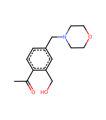 CC(=O)c1ccc(CN2CCOCC2)cc1CO